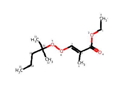 [CH2]COC(=O)C(C)=COOC(C)(C)CCC